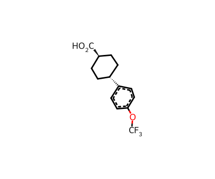 O=C(O)[C@H]1CC[C@H](c2ccc(OC(F)(F)F)cc2)CC1